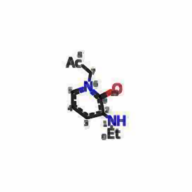 CCNc1cccn(CC(C)=O)c1=O